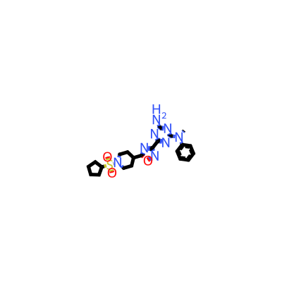 CN(c1ccccc1)c1nc(N)nc(-c2noc(C3CCN(S(=O)(=O)C4CCCC4)CC3)n2)n1